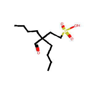 CCCCC(C=O)(CCCC)CCS(=O)(=O)O